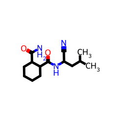 CC(C)CC(C#N)NC(=O)C1CCCCC1C(N)=O